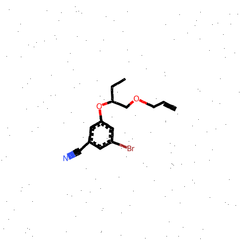 C=CCOCC(CC)Oc1cc(Br)cc(C#N)c1